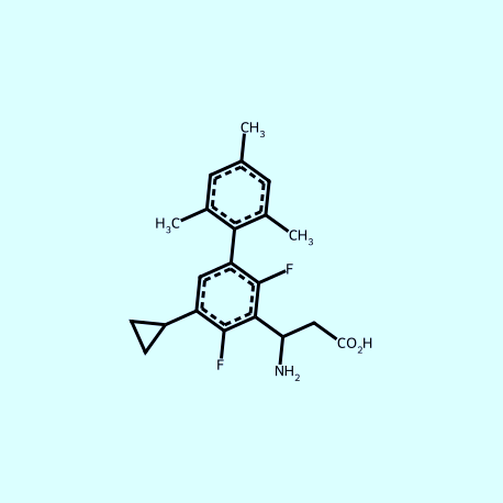 Cc1cc(C)c(-c2cc(C3CC3)c(F)c(C(N)CC(=O)O)c2F)c(C)c1